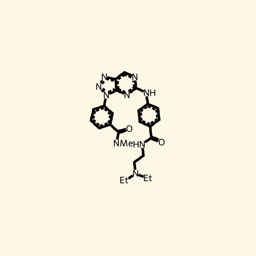 CCN(CC)CCNC(=O)c1ccc(Nc2ncc3nnn(-c4cccc(C(=O)NC)c4)c3n2)cc1